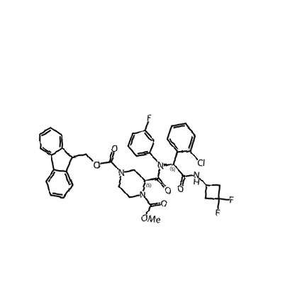 COC(=O)N1CCN(C(=O)OCC2c3ccccc3-c3ccccc32)C[C@H]1C(=O)N(c1cccc(F)c1)[C@H](C(=O)NC1CC(F)(F)C1)c1ccccc1Cl